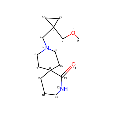 COCC1(CN2CCC3(CCCNC3=O)CC2)CC1